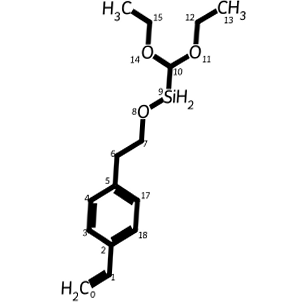 C=Cc1ccc(CCO[SiH2]C(OCC)OCC)cc1